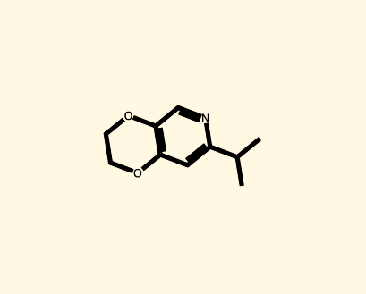 CC(C)c1cc2c(cn1)OCCO2